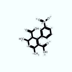 CC1=NC(C)C(C(=O)O)C(c2cccc([N+](=O)[O-])c2)=C1C(=O)O